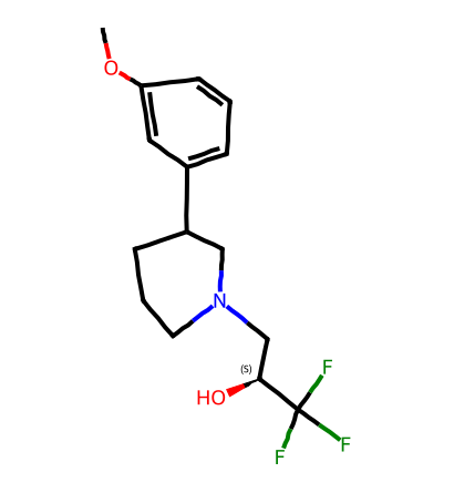 COc1cccc(C2CCCN(C[C@H](O)C(F)(F)F)C2)c1